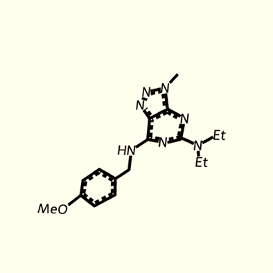 CCN(CC)c1nc(NCc2ccc(OC)cc2)c2nnn(C)c2n1